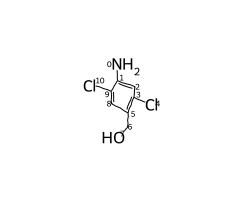 Nc1cc(Cl)c(CO)cc1Cl